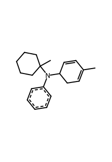 CC1=CCC(N(c2ccccc2)C2(C)CCCCC2)C=C1